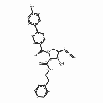 CCCc1ccc(-c2ccc(C(=O)N3CC(N=[N+]=[N-])C(O)[C@H]3C(=O)NOCc3ccccc3)cc2)cc1